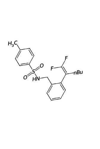 CCCCC(=C(F)F)c1ccccc1CNS(=O)(=O)c1ccc(C)cc1